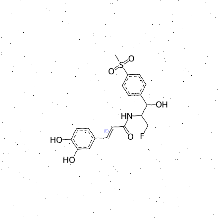 CS(=O)(=O)c1ccc(C(O)C(CF)NC(=O)/C=C/c2ccc(O)c(O)c2)cc1